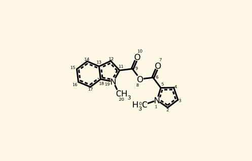 Cn1cccc1C(=O)OC(=O)c1cc2ccccc2n1C